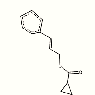 O=C(OCC=Cc1ccccc1)C1CC1